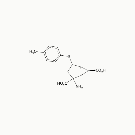 Cc1ccc(SC2CC(N)(C(=O)O)C3C2[C@H]3C(=O)O)cc1